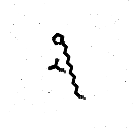 CC(=O)[O-].CCCCCCCCCCC[N+]1=CCCC1